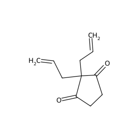 C=CCC1(CC=C)C(=O)CCC1=O